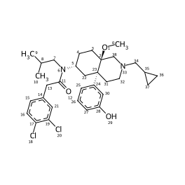 CO[C@]12CC[C@@H](N(CC(C)C)C(=O)Cc3ccc(Cl)c(Cl)c3)C[C@]1(c1cccc(O)c1)CCN(CC1CC1)C2